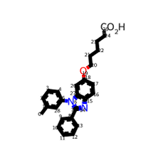 Cc1cccc(-n2c(-c3ccccc3)nc3ccc(OCCCCCC(=O)O)cc32)c1